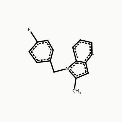 Cc1cc2[c]cccc2n1Cc1ccc(F)cc1